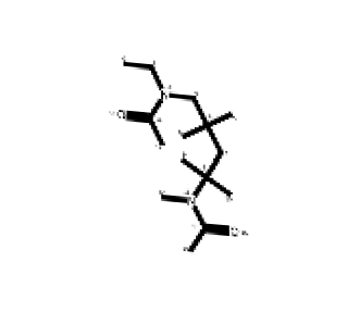 CCN(CC(C)(C)CC(C)(C)N(C)C(C)=O)C(C)=O